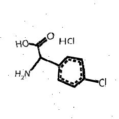 Cl.NC(C(=O)O)c1ccc(Cl)cc1